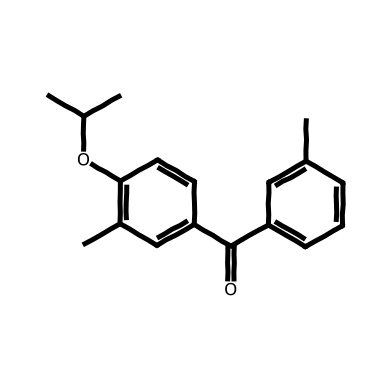 Cc1cccc(C(=O)c2ccc(OC(C)C)c(C)c2)c1